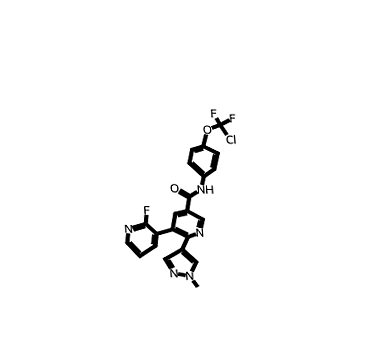 Cn1cc(-c2ncc(C(=O)Nc3ccc(OC(F)(F)Cl)cc3)cc2-c2cccnc2F)cn1